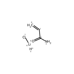 C=CC(N)=O.[H+].[Li][Cl]